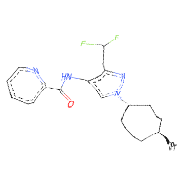 CC(C)[C@H]1CC[C@H](n2cc(NC(=O)c3ccccn3)c(C(F)F)n2)CC1